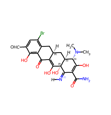 [H]/N=C1/C(C(N)=O)=C(O)[C@@H](N(C)C)[C@@H]2C[C@@H]3Cc4c(Br)cc(C=O)c(O)c4C(=O)C3=C(O)[C@]12O